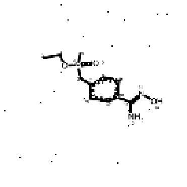 CCOP(C)(=O)Cc1ccc(C(N)=NO)cc1